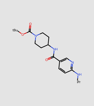 CC(C)Nc1ccc(C(=O)NC2CCN(C(=O)OC(C)(C)C)CC2)cn1